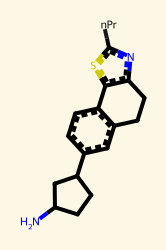 CCCc1nc2c(s1)-c1ccc(C3CCC(N)C3)cc1CC2